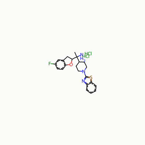 CC(N)(C1CCN(c2nc3ccccc3s2)CC1)C1Cc2cc(F)ccc2O1.Cl.Cl